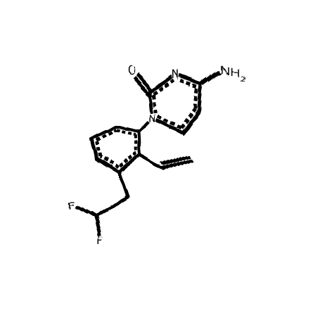 C=Cc1c(CC(F)F)cccc1-n1ccc(N)nc1=O